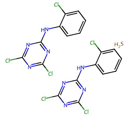 Clc1nc(Cl)nc(Nc2ccccc2Cl)n1.Clc1nc(Cl)nc(Nc2ccccc2Cl)n1.S